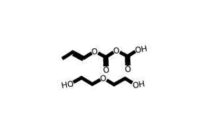 CC=COC(=O)OC(=O)O.OCCOCCO